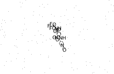 O=C(ONS(=O)(=O)c1ccc(NCC2CCN(C3COC3)CC2)c([N+](=O)[O-])c1)C(F)(F)F